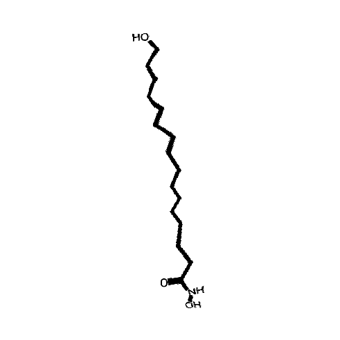 O=C(CCCCCCCCCCCCCCCO)NO